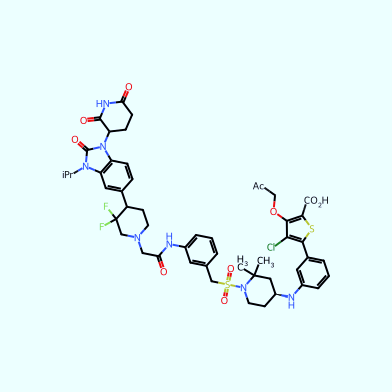 CC(=O)COc1c(C(=O)O)sc(-c2cccc(N[C@H]3CCN(S(=O)(=O)Cc4cccc(NC(=O)CN5CCC(c6ccc7c(c6)n(C(C)C)c(=O)n7C6CCC(=O)NC6=O)C(F)(F)C5)c4)C(C)(C)C3)c2)c1Cl